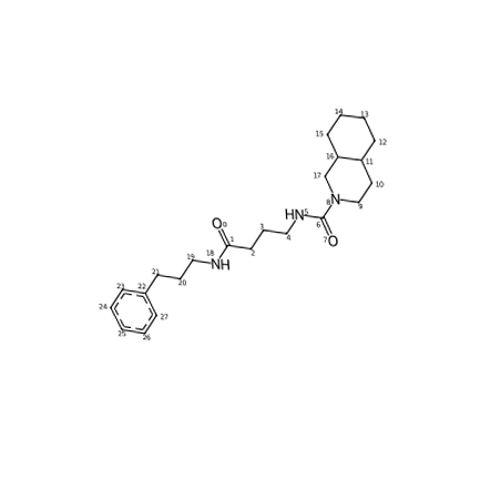 O=C(CCCNC(=O)N1CCC2CCCCC2C1)NCCCc1ccccc1